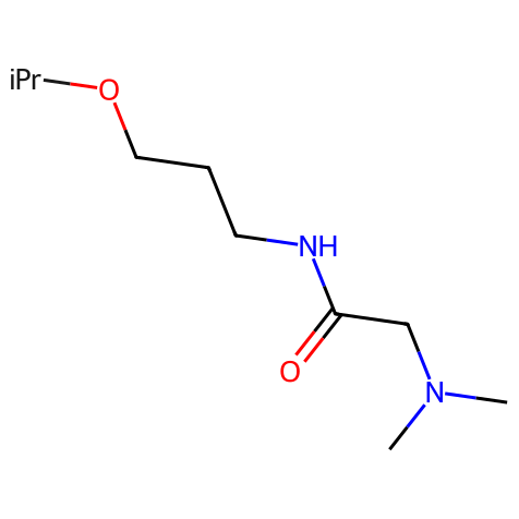 CC(C)OCCCNC(=O)CN(C)C